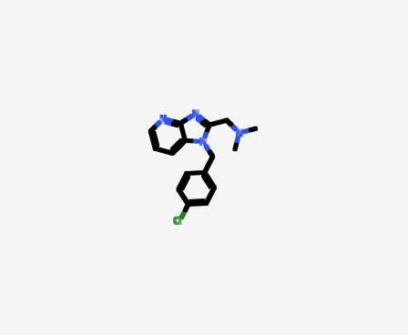 CN(C)Cc1nc2ncccc2n1Cc1ccc(Cl)cc1